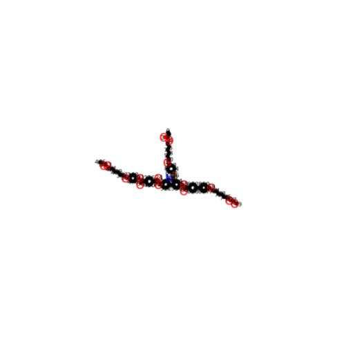 C=CC(=O)OCCCCCCOC1CCC(Sc2nc3cc(OC(=O)C4CCC(C(=O)Oc5ccc(OCCCCCCOOCC)cc5)CC4)ccc3c3ccc(OC(=O)C4CCC(c5ccc(OCCCCCCOCOC)cc5)CC4)cc23)CC1